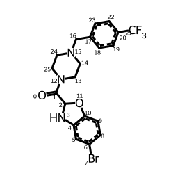 O=C(C1Nc2cc(Br)ccc2O1)N1CCN(Cc2ccc(C(F)(F)F)cc2)CC1